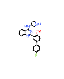 Oc1ccc(-c2ccc(F)cc2)cc1-c1nc(NC2CCNC2)c2ccccc2n1